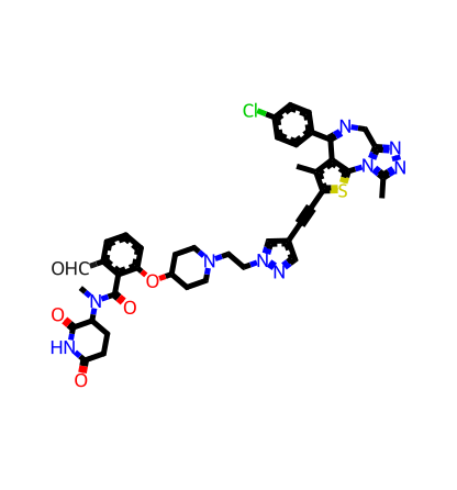 Cc1c(C#Cc2cnn(CCN3CCC(Oc4cccc(C=O)c4C(=O)N(C)C4CCC(=O)NC4=O)CC3)c2)sc2c1C(c1ccc(Cl)cc1)=NCc1nnc(C)n1-2